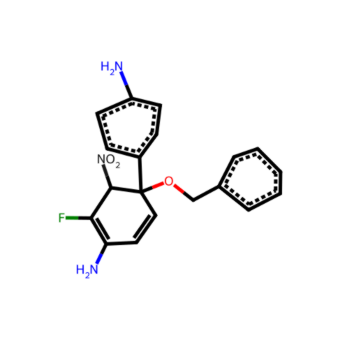 NC1=C(F)C([N+](=O)[O-])C(OCc2ccccc2)(c2ccc(N)cc2)C=C1